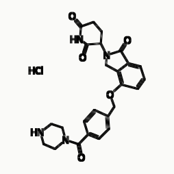 Cl.O=C1CCC(N2Cc3c(OCc4ccc(C(=O)N5CCNCC5)cc4)cccc3C2=O)C(=O)N1